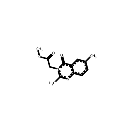 COC(=O)Cn1c(C)nc2ccc(C)cc2c1=O